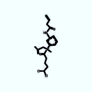 C=CCC(=O)Nc1cccc([N+](C)(CC(=C)C)C(=O)CCCC(Cl)Cl)c1